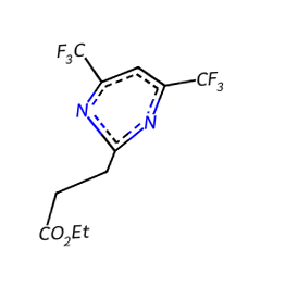 CCOC(=O)CCc1nc(C(F)(F)F)cc(C(F)(F)F)n1